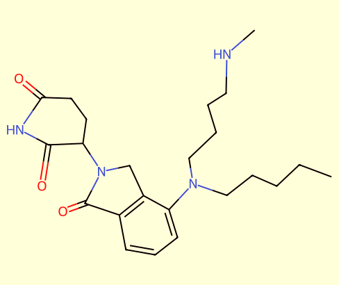 CCCCCN(CCCCNC)c1cccc2c1CN(C1CCC(=O)NC1=O)C2=O